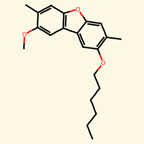 CCCCCCOc1cc2c(cc1C)oc1cc(C)c(OC)cc12